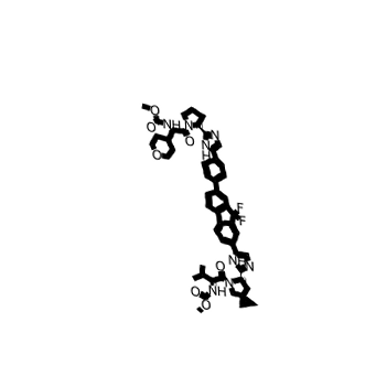 COC(=O)NC(C(=O)N1CCC[C@H]1c1ncc(-c2ccc(-c3ccc4c(c3)C(F)(F)c3cc(-c5cnc([C@@H]6CC7(CC7)CN6C(=O)[C@@H](NC(=O)OC)C(C)C)[nH]5)ccc3-4)cc2)[nH]1)C1CCOCC1